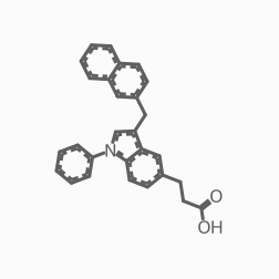 O=C(O)CCc1ccc2c(c1)c(Cc1ccc3ccccc3c1)cn2-c1ccccc1